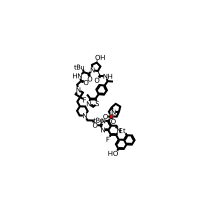 CCc1cccc2cc(O)cc(-c3ncc4c(N5CC6CCC(C5)N6C(=O)OC(C)(C)C)nc(OCCN5CCC(CC6(F)CN(CC(=O)NC(C(=O)N7C[C@H](O)C[C@H]7C(=O)NC(C)c7ccc(-c8scnc8C)cc7)C(C)(C)C)C6)CC5)nc4c3F)c12